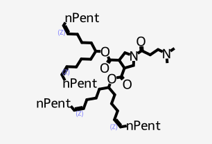 CCCCC/C=C\CCCC(CCC/C=C\CCCCC)OC(=O)C1CN(C(=O)CCN(C)C)CC1C(=O)OC(CCC/C=C\CCCCC)CCC/C=C\CCCCC